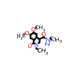 CCn1cc(C(=O)NC)c2cc(OC)c(OC)cc2c1=O